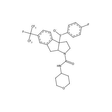 O=C(NC1CCOCC1)N1CCC2([S+]([O-])c3ccc(F)cc3)c3ccc(C(F)(C(F)(F)F)C(F)(F)F)cc3CC12